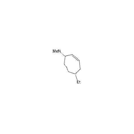 CCC1CC=CC(NC)CC1